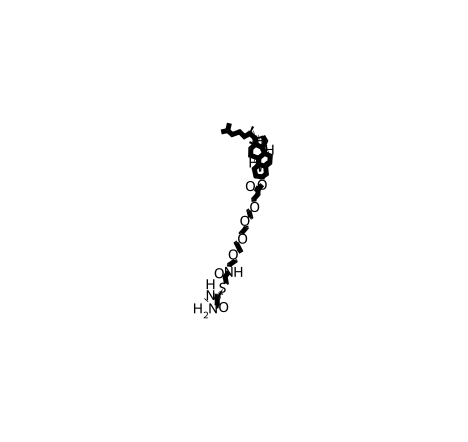 CN[C@@H](CSCC(=O)NCCOCCOCCOCCOCCC(=O)OC1CC[C@@]2(C)C(=CC[C@H]3[C@@H]4CC[C@H]([C@H](C)CCCC(C)C)[C@@]4(C)CC[C@@H]32)C1)C(N)=O